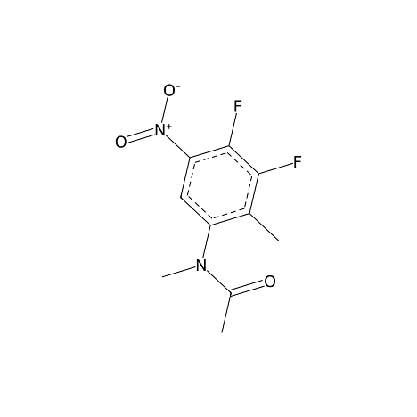 CC(=O)N(C)c1cc([N+](=O)[O-])c(F)c(F)c1C